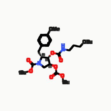 COc1ccc(C[C@@H]2[C@H](OC(=O)NCCCOCC(C)C)[C@@H](OC(=O)OC(C)(C)C)CN2C(=O)OC(C)(C)C)cc1